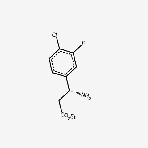 CCOC(=O)C[C@@H](N)c1ccc(Cl)c(F)c1